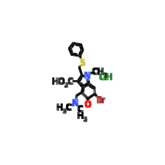 CN(C)CC1=c2c(C(=O)O)c(CSc3ccccc3)n(C)c2=CC(Br)C1=O.Cl